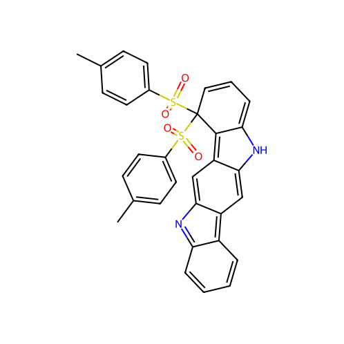 Cc1ccc(S(=O)(=O)C2(S(=O)(=O)c3ccc(C)cc3)C=CC=c3[nH]c4cc5c(cc4c32)N=c2ccccc2=5)cc1